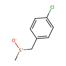 C[S+]([O-])Cc1ccc(Cl)cc1